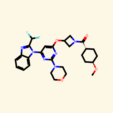 CO[C@H]1CC[C@H](C(=O)N2CC(Oc3cc(-n4c(C(F)F)nc5ccccc54)nc(N4CCOCC4)n3)C2)CC1